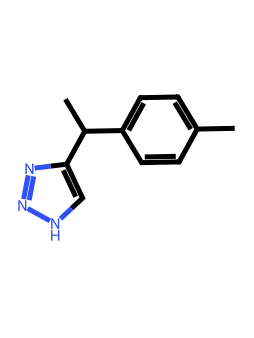 Cc1ccc(C(C)c2c[nH]nn2)cc1